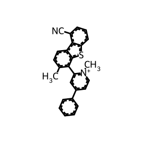 Cc1ccc2c(sc3cccc(C#N)c32)c1-c1cc(-c2ccccc2)cc[n+]1C